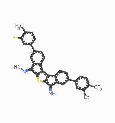 CCc1cc(-c2ccc3c(c2)c(=N)c2sc4/c(=N/C#N)c5cc(-c6ccc(C(F)(F)F)c(F)c6)ccc5c4c23)ccc1C(F)(F)F